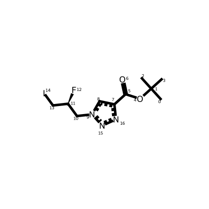 CC(C)(C)OC(=O)c1cn(C[C@H](F)CI)nn1